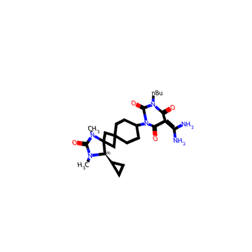 CCCCN1C(=O)C(=C(N)N)C(=O)N(C2CCC3(CC2)CC2(C3)[C@@H](C3CC3)N(C)C(=O)N2C)C1=O